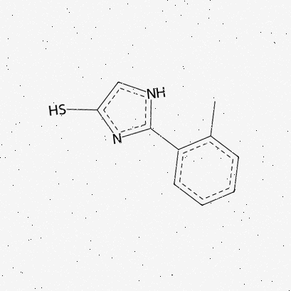 Cc1ccccc1-c1nc(S)c[nH]1